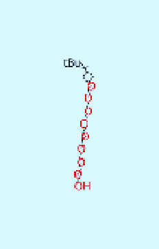 CC(C)(C)CC(C)(C)C1CCC(OCCOCCOCCOCCOCCOCCOCCOCCO)CC1